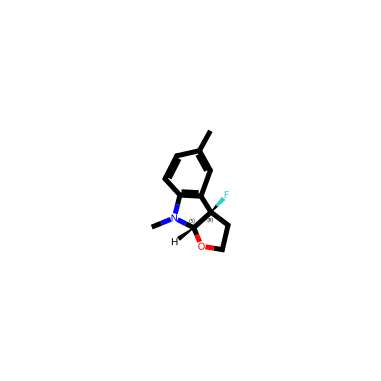 Cc1ccc2c(c1)[C@]1(F)CCO[C@@H]1N2C